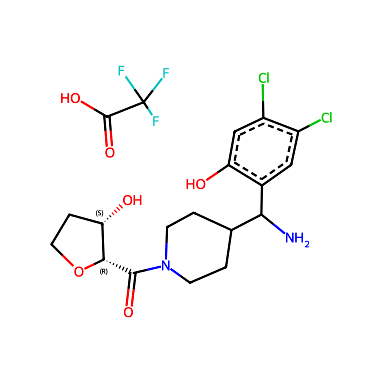 NC(c1cc(Cl)c(Cl)cc1O)C1CCN(C(=O)[C@@H]2OCC[C@@H]2O)CC1.O=C(O)C(F)(F)F